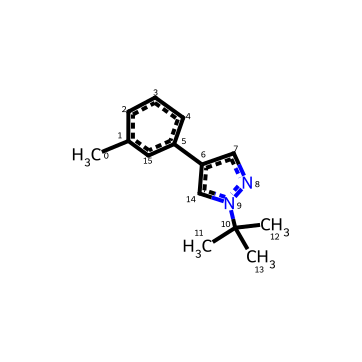 Cc1cccc(-c2cnn(C(C)(C)C)c2)c1